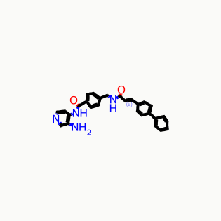 Nc1cnccc1NC(=O)c1ccc(CNC(=O)/C=C/c2ccc(-c3ccccc3)cc2)cc1